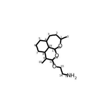 CC1CCC2CCCC3C(C)C(OCCN)OC(O1)C23